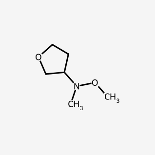 CON(C)C1CCOC1